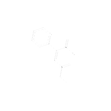 CCC(=S)C=C(C(N)=O)c1ccccn1